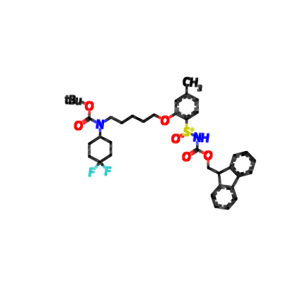 Cc1ccc([S+]([O-])NC(=O)OCC2c3ccccc3-c3ccccc32)c(OCCCCCN(C(=O)OC(C)(C)C)C2CCC(F)(F)CC2)c1